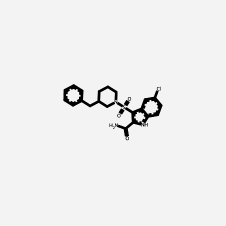 NC(=O)c1[nH]c2ccc(Cl)cc2c1S(=O)(=O)N1CCCC(Cc2ccccc2)C1